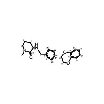 CN1CCCC(NCc2ccc([C@H]3COc4ccccc4O3)cc2)C1=O